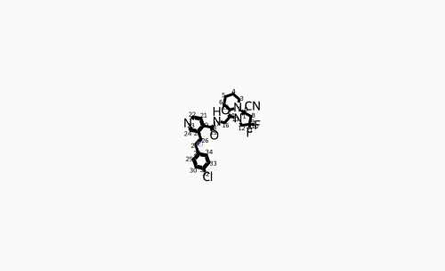 N#CC1(N2CCCCC2)CC(F)(F)CN1C(=O)CNC(=O)c1ccncc1/C=C/c1ccc(Cl)cc1